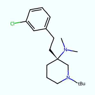 CN(C)[C@@]1(CCc2cccc(Cl)c2)CCCN(C(C)(C)C)C1